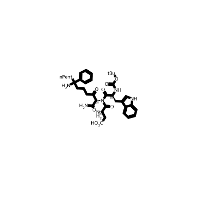 CCCCCC(N)(CCCC(=O)[C@@H](C(N)=O)N(C(=O)[C@H](Cc1c[nH]c2ccccc12)NC(=O)OC(C)(C)C)C(=O)[C@@H](N)CC(=O)O)c1ccccc1